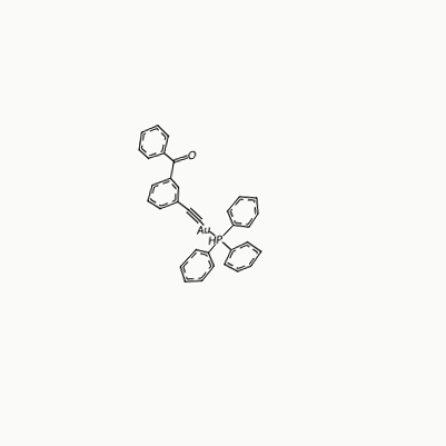 O=C(c1ccccc1)c1cccc(C#[C][Au][PH](c2ccccc2)(c2ccccc2)c2ccccc2)c1